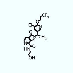 CC(c1cnc(OCCC(F)(F)F)c(Cl)c1)N1Cc2c(ccnc2C(=O)NCCO)C1=O